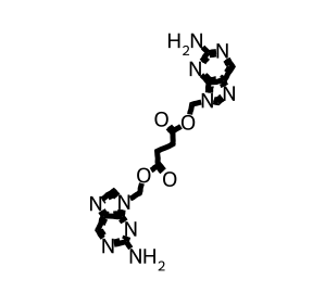 Nc1ncc2ncn(COC(=O)CCC(=O)OCn3cnc4cnc(N)nc43)c2n1